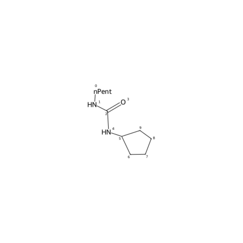 CCCCCNC(=O)NC1CCCC1